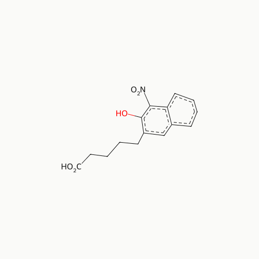 O=C(O)CCCCc1cc2ccccc2c([N+](=O)[O-])c1O